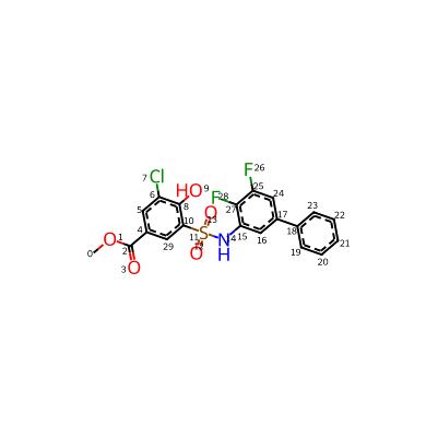 COC(=O)c1cc(Cl)c(O)c(S(=O)(=O)Nc2cc(-c3ccccc3)cc(F)c2F)c1